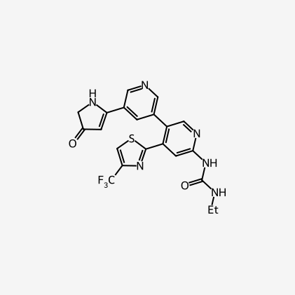 CCNC(=O)Nc1cc(-c2nc(C(F)(F)F)cs2)c(-c2cncc(C3=CC(=O)CN3)c2)cn1